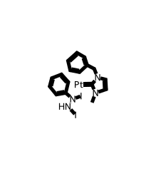 Cn1ccn(Cc2ccccc2)[c]1=[Pt].INN(I)c1ccccc1